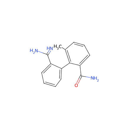 Cc1cccc(C(N)=O)c1-c1ccccc1C(=N)N